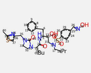 CC[C@H](C)[C@@H](C(=O)N[C@@H](Cc1ccccc1)[C@H](O)CN(CC(C)C)S(=O)(=O)c1ccc(C=NO)cc1)N1CCN(Cc2csc(C)n2)C1=O